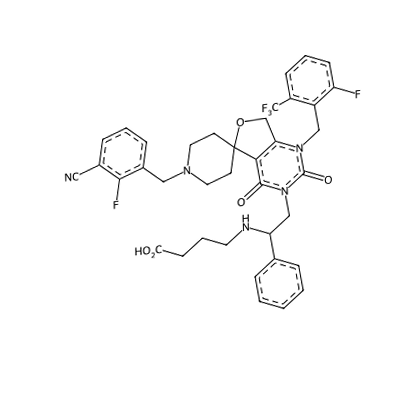 N#Cc1cccc(CN2CCC3(CC2)OCc2c3c(=O)n(CC(NCCCC(=O)O)c3ccccc3)c(=O)n2Cc2c(F)cccc2C(F)(F)F)c1F